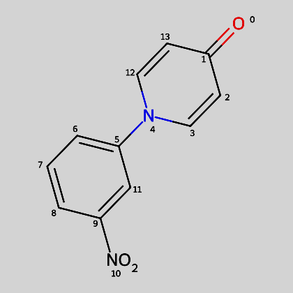 O=c1ccn(-c2cccc([N+](=O)[O-])c2)cc1